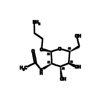 CC(=O)N[C@@H]1[C@@H](OCCN)O[C@H](CO)[C@@H](O)[C@@H]1O